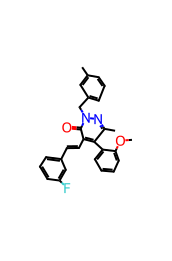 COc1ccccc1-c1c(C)nn(Cc2cccc(C)c2)c(=O)c1/C=C/c1cccc(F)c1